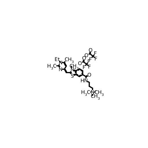 CCN1C(C)=CC(=Cc2sc3cc(C(=O)NCCC[N+](C)(C)C)ccc3[n+]2C)N=C1C.O=C([O-])C(F)(F)F.O=C([O-])C(F)(F)F